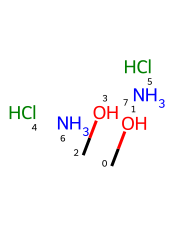 CO.CO.Cl.Cl.N.N